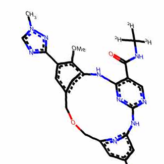 [2H]C([2H])([2H])NC(=O)c1cnc2nc1Nc1cc(cc(-c3ncn(C)n3)c1OC)COCc1cc(F)cc(n1)N2